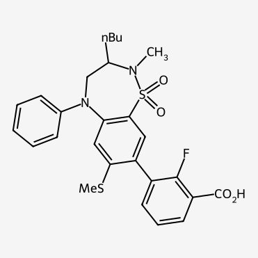 CCCCC1CN(c2ccccc2)c2cc(SC)c(-c3cccc(C(=O)O)c3F)cc2S(=O)(=O)N1C